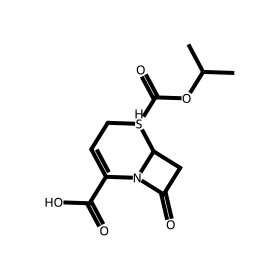 CC(C)OC(=O)[SH]1CC=C(C(=O)O)N2C(=O)CC21